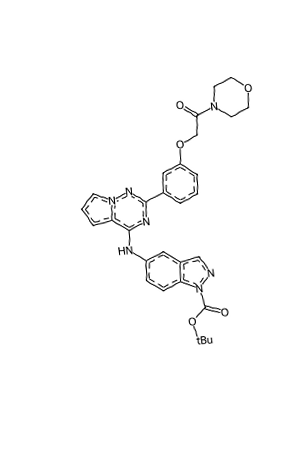 CC(C)(C)OC(=O)n1ncc2cc(Nc3nc(-c4cccc(OCC(=O)N5CCOCC5)c4)nn4cccc34)ccc21